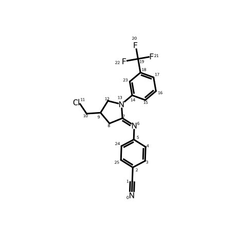 N#Cc1ccc(N=C2CC(CCl)CN2c2cccc(C(F)(F)F)c2)cc1